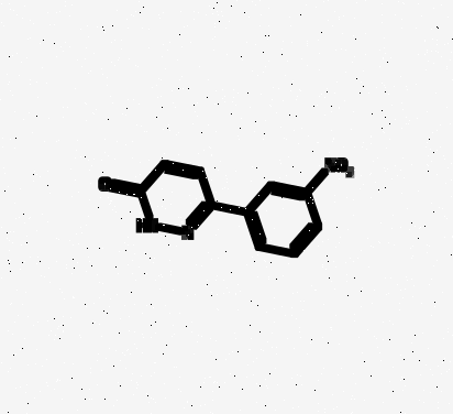 O=c1ccc(-c2cccc([N+](=O)[O-])c2)n[nH]1